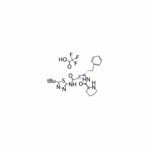 CC(C)(C)c1nnc(NC(=O)/C=C/[C@H](CCc2ccccc2)NC(=O)[C@@H]2CCCCN2)s1.O=C(O)C(F)(F)F